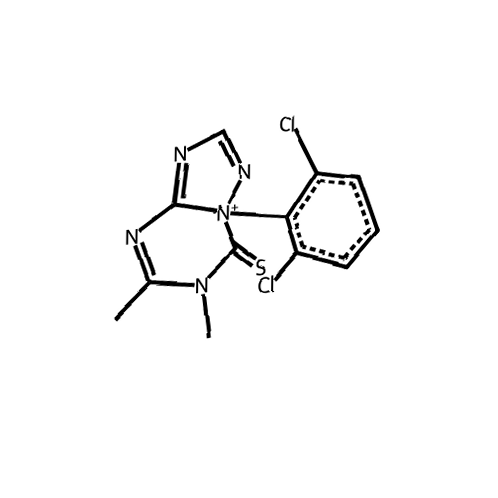 CC1=NC2=NC=N[N+]2(c2c(Cl)cccc2Cl)C(=S)N1C